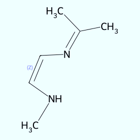 CN/C=C\N=C(C)C